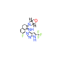 Fc1ccc2c(c1)[C@H](Nc1ncnc3[nH]c(C(F)(F)F)cc13)[C@@H](N1C[C@H]3COC[C@H]3C1)CC2